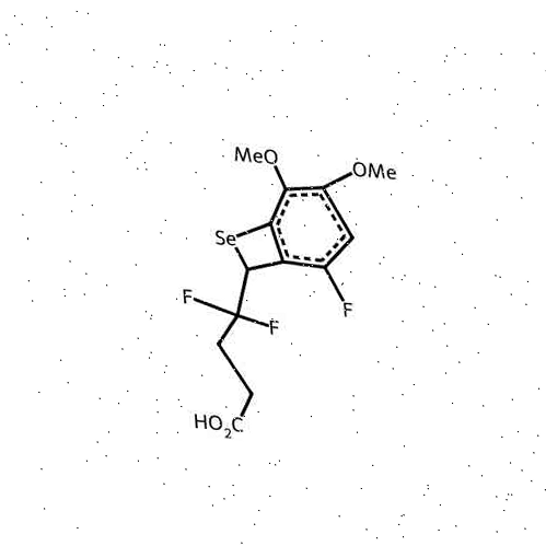 COc1cc(F)c2c(c1OC)[Se]C2C(F)(F)CCC(=O)O